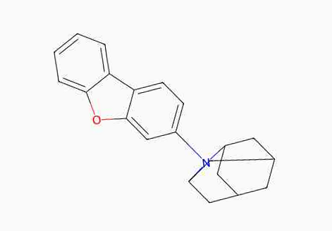 c1ccc2c(c1)oc1cc(N3C4CC5CC(C4)CC3C5)ccc12